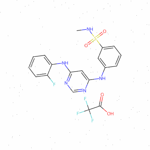 CNS(=O)(=O)c1cccc(Nc2cc(Nc3ccccc3F)ncn2)c1.O=C(O)C(F)(F)F